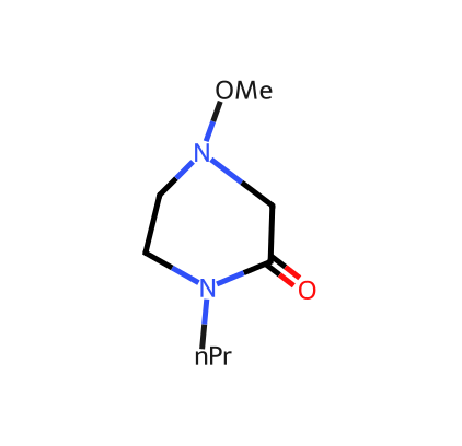 CCCN1CCN(OC)CC1=O